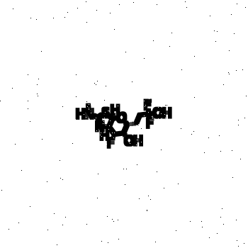 CNC1=N[C@@H]2[C@@H](F)[C@H](O)[C@@H](CCC(O)(F)F)O[C@@H]2S1